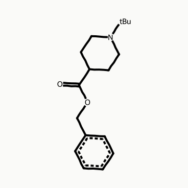 CC(C)(C)N1CCC(C(=O)OCc2ccccc2)CC1